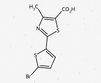 Cc1nc(-c2ccc(Br)s2)sc1C(=O)O